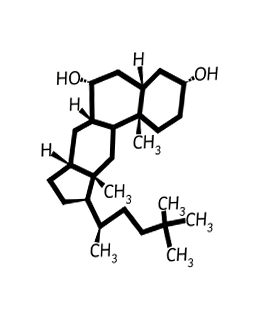 C[C@H](CCC(C)(C)C)[C@H]1CC[C@@H]2C[C@H]3C(C[C@@]21C)[C@@]1(C)CC[C@@H](O)C[C@H]1C[C@H]3O